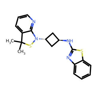 CC1(C)SN([C@H]2C[C@H](Nc3nc4ccccc4s3)C2)c2ncccc21